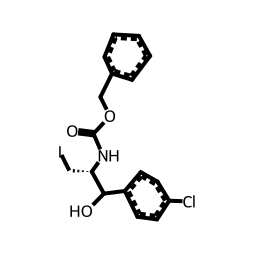 O=C(N[C@@H](CI)C(O)c1ccc(Cl)cc1)OCc1ccccc1